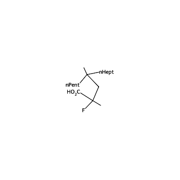 CCCCCCCC(C)(CCCCC)CC(C)(F)C(=O)O